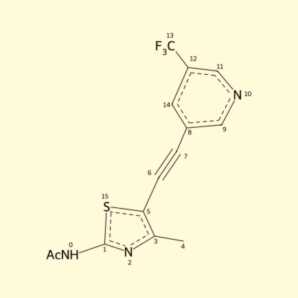 CC(=O)Nc1nc(C)c(C#Cc2cncc(C(F)(F)F)c2)s1